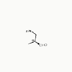 CCCC[C@H](C)C=O